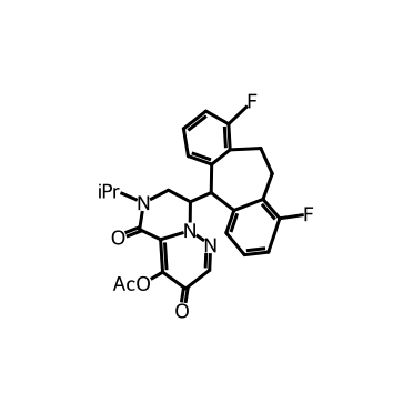 CC(=O)Oc1c2n(ncc1=O)C(C1c3cccc(F)c3CCc3c(F)cccc31)CN(C(C)C)C2=O